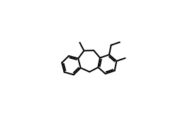 CCc1c(C)ccc2c1CC(C)c1ccccc1C2